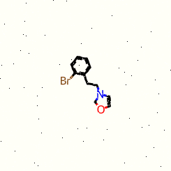 Brc1ccccc1CCN1C=COC1